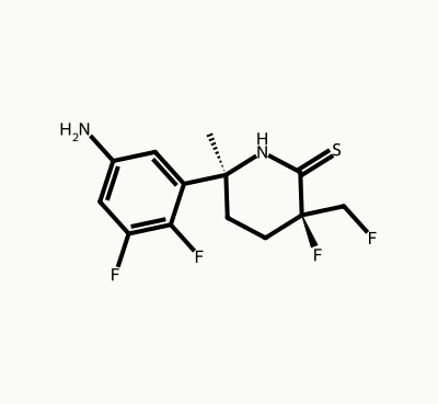 C[C@@]1(c2cc(N)cc(F)c2F)CC[C@@](F)(CF)C(=S)N1